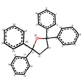 c1ccc(C2(c3ccccc3)CCC(c3ccccc3)(c3ccccc3)O2)cc1